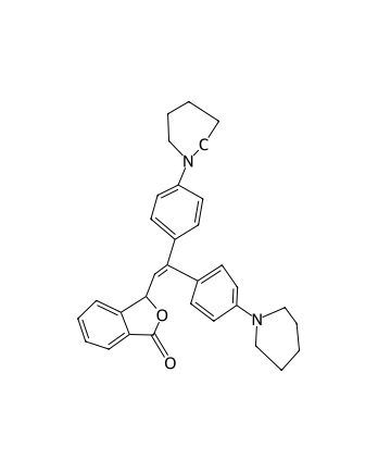 O=C1OC(C=C(c2ccc(N3CCCCC3)cc2)c2ccc(N3CCCCC3)cc2)c2ccccc21